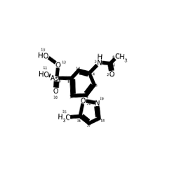 CC(=O)Nc1cccc([As](=O)(O)OO)c1.Cc1ccno1